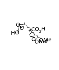 COCC(Cc1cccc([C@@](C)(CCCC(C)(C)CS(=O)(=O)CCO)C(=O)O)c1)C(=O)OC